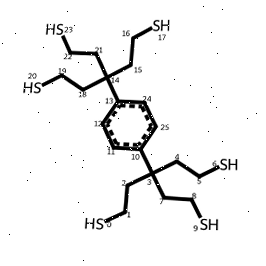 SCCC(CCS)(CCS)c1[c]cc(C(CCS)(CCS)CCS)cc1